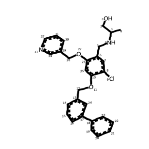 CC(CO)NCc1cc(Cl)c(OCc2cccc(-c3ccccc3)c2)cc1OCc1cccnc1